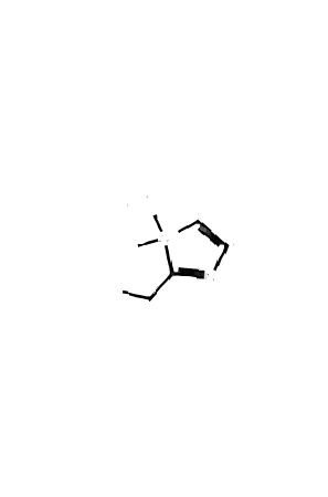 CCC1=NC=C[N+]1(O)O.[Cl-]